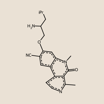 Cc1nccc2c1c(=O)n(C)c1cc(OCC(N)CC(C)C)c(C#N)cc21